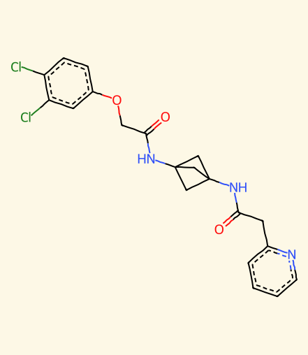 O=C(COc1ccc(Cl)c(Cl)c1)NC12CC(NC(=O)Cc3ccccn3)(C1)C2